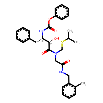 Cc1ccccc1CNC(=O)CN(CSC(C)C)C(=O)[C@@H](O)[C@H](Cc1ccccc1)NC(=O)Oc1ccccc1